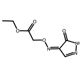 CCOC(=O)CON=C1C=NNC1=O